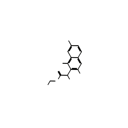 CCOC(=O)C(O)c1c(C)cc2ccc(Cl)cc2c1O